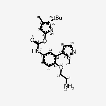 Cc1cc(OC(=O)Nc2ccc(OCCN)c(-c3ccnn3C)c2)nn1C(C)(C)C